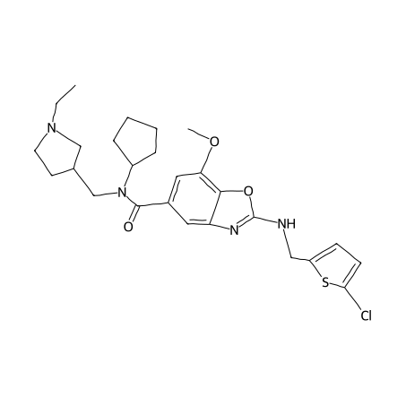 CCN1CCC(CN(C(=O)c2cc(OC)c3oc(NCc4ccc(Cl)s4)nc3c2)C2CCCC2)C1